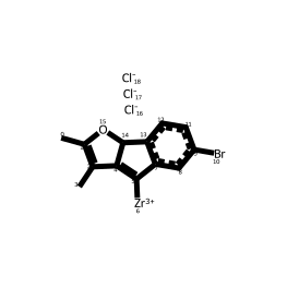 CC1=C(C)C2=[C]([Zr+3])c3cc(Br)ccc3C2O1.[Cl-].[Cl-].[Cl-]